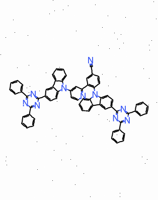 N#Cc1ccc(-n2c3ccccc3c3cc(-c4nc(-c5ccccc5)nc(-c5ccccc5)n4)ccc32)c(-c2cc(-n3c4ccccc4c4cc(-c5nc(-c6ccccc6)nc(-c6ccccc6)n5)ccc43)ccn2)c1